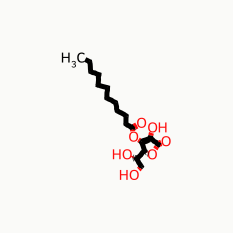 CCCCCCCCCCCC(=O)OC1=C(O)C(=O)O[C@@H]1[C@@H](O)CO